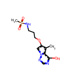 Cc1c(OCCCNS(C)(=O)=O)cn2ncnc(O)c12